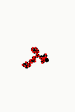 CC1(C)c2cc(-c3cc(-c4ccc([Si](c5ccccc5)(c5ccccc5)c5ccccc5)cc4)cc(-c4ccc5ccc6cccc7ccc4c5c67)c3)ccc2-c2ccc(-c3ccc4ccc5cccc6ccc3c4c56)cc21